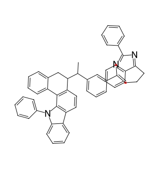 CC(c1cccc(C2=C/CC/C(c3ccccc3)=N/C(c3ccccc3)=N\2)c1)C1Cc2ccccc2-c2c1ccc1c3ccccc3n(-c3ccccc3)c21